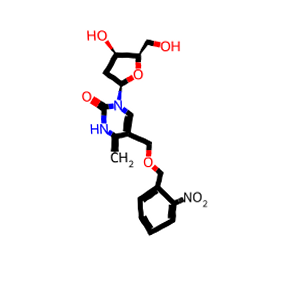 C=C1NC(=O)N([C@H]2C[C@@H](O)[C@@H](CO)O2)C=C1COCc1ccccc1[N+](=O)[O-]